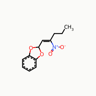 CCCC(=CC1Oc2ccccc2O1)[N+](=O)[O-]